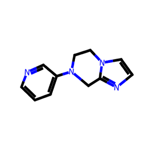 c1cncc(N2CCn3ccnc3C2)c1